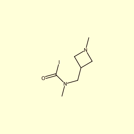 CN1CC(CN(C)C(=O)I)C1